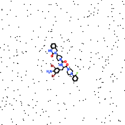 Nc1c(Br)cc(C[C@@H](NC(=O)N2CCC(N3Cc4ccccc4NC3=O)CC2)C(=O)N2CCN(c3ccccc3F)CC2)cc1Br